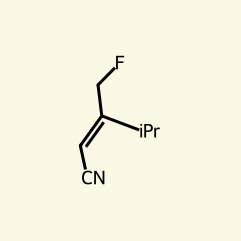 CC(C)/C(=C\C#N)CF